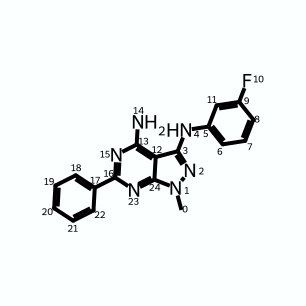 Cn1nc(Nc2cccc(F)c2)c2c(N)nc(-c3ccccc3)nc21